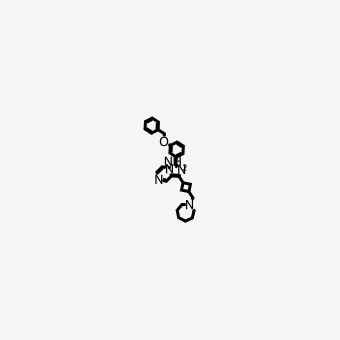 N[N+]12C=CN=CC1=C(C1CC(CN3CCCCCC3)C1)N=C2c1cccc(OCc2ccccc2)c1